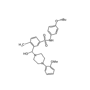 CCCCOc1ccc(NS(=O)(=O)c2ccc(C)c(C(O)N3CCN(c4ccccc4OC)CC3)c2)cc1